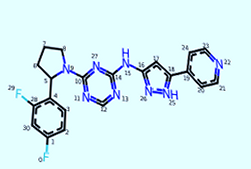 Fc1ccc(C2CCCN2c2ncnc(Nc3cc(-c4ccncc4)[nH]n3)n2)c(F)c1